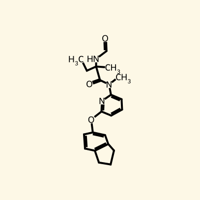 CCC(C)(NC=O)C(=O)N(C)c1cccc(Oc2ccc3c(c2)CCC3)n1